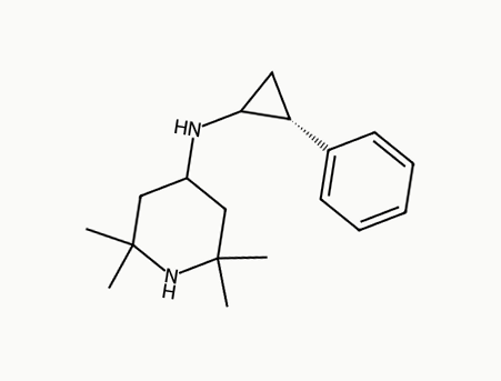 CC1(C)CC(NC2C[C@@H]2c2ccccc2)CC(C)(C)N1